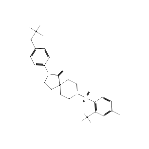 O=C1N(c2ccc(CC(F)(F)F)cc2)CCC12CCN(S(=O)(=O)c1ccc(F)cc1C(F)(F)F)CC2